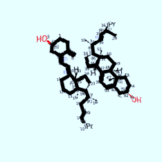 C=C1CC[C@H](O)C/C1=C/C=C1\CCC[C@]2(C)[C@@H]([C@H](C)CCCC(C)C)CC[C@@H]12.CC(C)[C@@H](C)/C=C/[C@@H](C)[C@H]1CC[C@H]2C3=CC=C4C[C@@H](O)CC[C@@]4(C)[C@@H]3CC[C@]12C